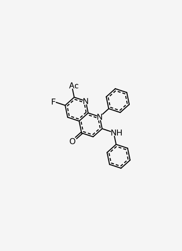 CC(=O)c1nc2c(cc1F)c(=O)cc(Nc1ccccc1)n2-c1ccccc1